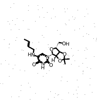 C/C=C/CNc1cn([C@@H]2O[C@H](CO)C3OC(C)(C)O[C@@H]32)c(=O)[nH]c1=O